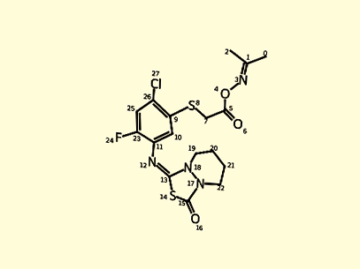 CC(C)=NOC(=O)CSc1cc(/N=c2/sc(=O)n3n2CCCC3)c(F)cc1Cl